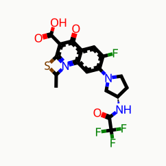 CC1Sc2c(C(=O)O)c(=O)c3cc(F)c(N4CC[C@H](NC(=O)C(F)(F)F)C4)cc3n21